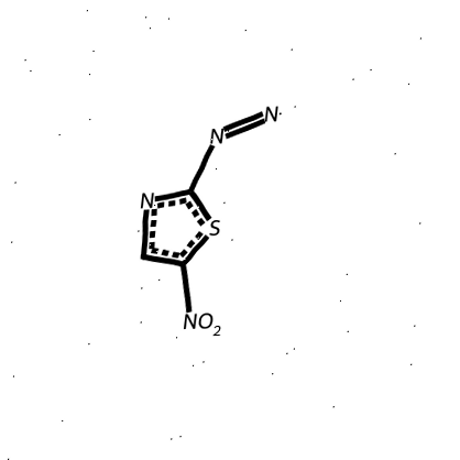 [N]=Nc1ncc([N+](=O)[O-])s1